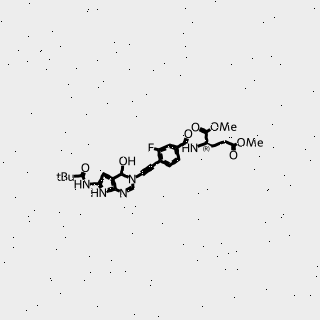 COC(=O)CC[C@@H](NC(=O)c1ccc(C#CN2C=Nc3[nH]c(NC(=O)C(C)(C)C)cc3C2O)c(F)c1)C(=O)OC